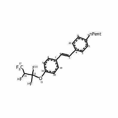 CCCCCc1ccc(C=Cc2ccc(OC(F)(F)C(F)C(F)(F)F)cc2)cc1